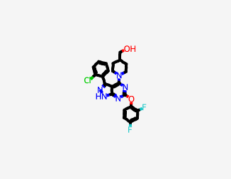 OCC1CCN(c2nc(Oc3ccc(F)cc3F)nc3[nH]nc(-c4ccccc4Cl)c23)CC1